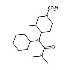 CC1CN(C(=O)O)CCC1N(C(=O)N(C)C)C1CCCCC1